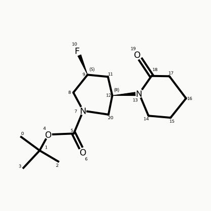 CC(C)(C)OC(=O)N1C[C@@H](F)C[C@@H](N2CCCCC2=O)C1